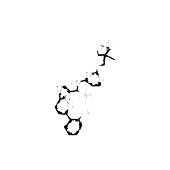 CC(CO)(CO)COc1nccc(NC(O)c2cnc3ccc(-c4ccccc4C(F)(F)F)nn23)n1